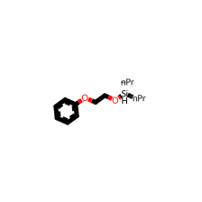 CCC[SiH](CCC)OCCOc1ccccc1